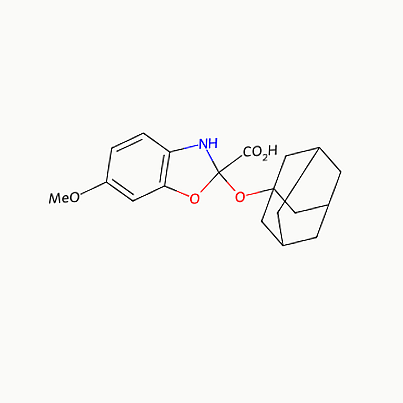 COc1ccc2c(c1)OC(OC13CC4CC(CC(C4)C1)C3)(C(=O)O)N2